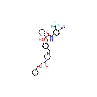 N#Cc1ccc(NC(=O)C(O)(Cc2cccc(CN3CCN(C(=O)COCc4ccccc4)CC3)c2)C2CCCCC2)cc1C(F)(F)F